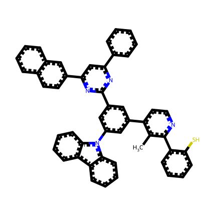 Cc1c(-c2cc(-c3nc(-c4ccccc4)cc(-c4ccc5ccccc5c4)n3)cc(-n3c4ccccc4c4ccccc43)c2)ccnc1-c1ccccc1S